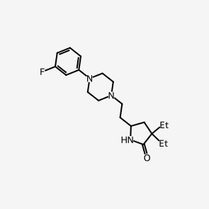 CCC1(CC)CC(CCN2CCN(c3cccc(F)c3)CC2)NC1=O